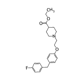 CCOC(=O)C1CCN(CCOc2ccc(Cc3ccc(F)cc3)cc2)CC1